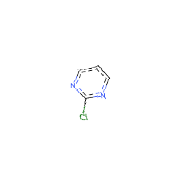 Clc1n[c]ccn1